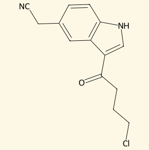 N#CCc1ccc2[nH]cc(C(=O)CCCCl)c2c1